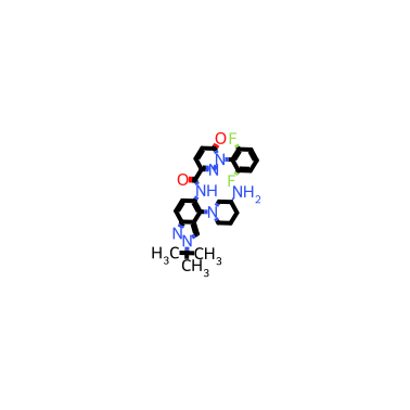 CC(C)(C)n1cc2c(N3CCC[C@@H](N)C3)c(NC(=O)c3ccc(=O)n(-c4c(F)cccc4F)n3)ccc2n1